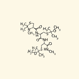 CNC(=O)C(CSC(C)(C)OC)NC(=O)C(CSC(C)(C)OC)NC(=O)[C@@H]1CSC(C)(C)N1C